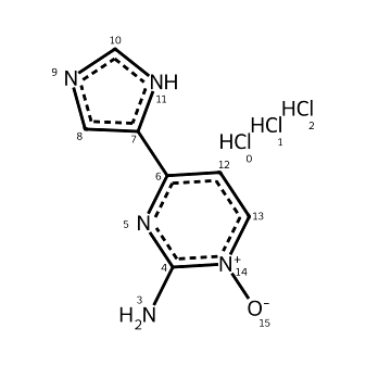 Cl.Cl.Cl.Nc1nc(-c2cnc[nH]2)cc[n+]1[O-]